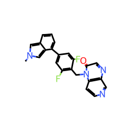 Cn1cc2cccc(-c3cc(F)c(Cn4c(=O)cnc5cnccc54)c(F)c3)c2c1